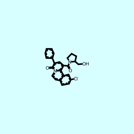 O=C(c1cc(-c2ccccc2)c(=O)n2ccc3ccc(Cl)cc3c12)N1CCCC1CO